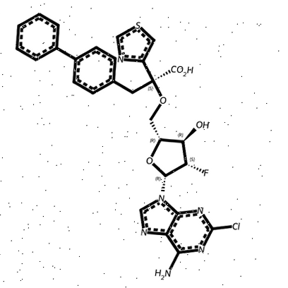 Nc1nc(Cl)nc2c1ncn2[C@@H]1O[C@H](CO[C@](Cc2ccc(-c3ccccc3)cc2)(C(=O)O)c2cscn2)[C@@H](O)[C@@H]1F